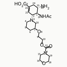 CC(=O)N[C@H]1[C@H](N2CCC[C@H](OCCOC(=O)N3CCOCC3)C2)C=C(C(=O)O)C[C@@H]1N